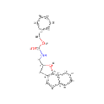 O=C(NCC1Cc2ccc3ccccc3c2O1)OCc1ccccc1